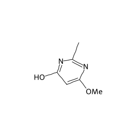 COc1cc(O)nc(C)n1